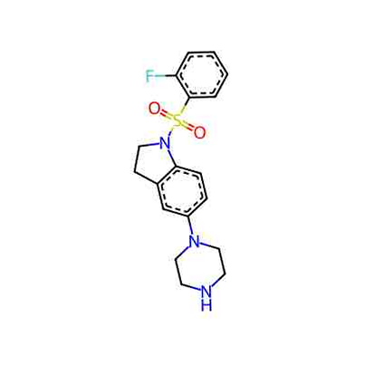 O=S(=O)(c1ccccc1F)N1CCc2cc(N3CCNCC3)ccc21